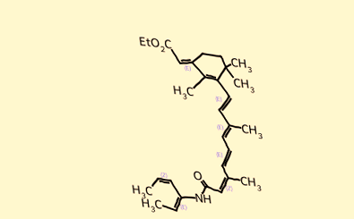 C/C=C\C(=C/C)NC(=O)\C=C(C)/C=C/C=C(C)/C=C/C1=C(C)C(=C/C(=O)OCC)/CCC1(C)C